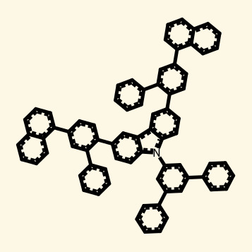 c1ccc(-c2cc(-c3ccccc3)cc(-n3c4ccc(-c5ccc(-c6cccc7ccccc67)cc5-c5ccccc5)cc4c4cc(-c5ccc(-c6cccc7ccccc67)cc5-c5ccccc5)ccc43)c2)cc1